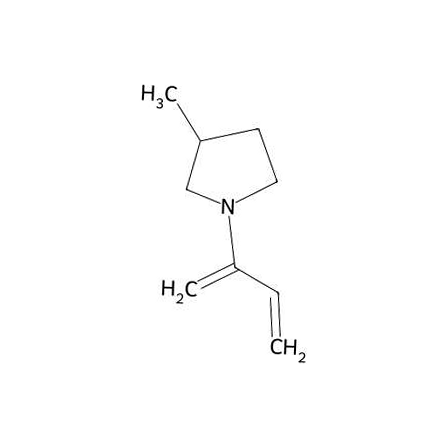 C=CC(=C)N1CCC(C)C1